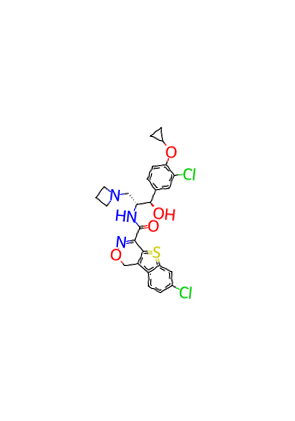 O=C(N[C@H](CN1CCC1)[C@H](O)c1ccc(OC2CC2)c(Cl)c1)C1=NOCc2c1sc1cc(Cl)ccc21